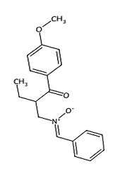 CCC(C[N+]([O-])=Cc1ccccc1)C(=O)c1ccc(OC)cc1